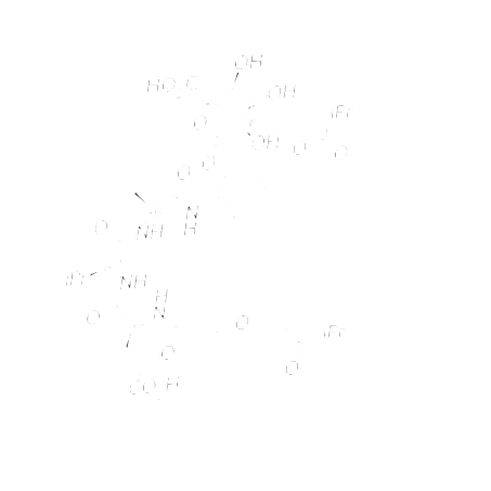 CC(C)C(=O)CCOCCC(=O)N[C@@H](CCC(=O)O)C(=O)N[C@H](C(=O)N[C@@H](C)C(=O)Nc1ccc(COC(=O)C(C)C)cc1O[C@@H]1O[C@H](C(=O)O)[C@@H](O)[C@H](O)[C@H]1O)C(C)C